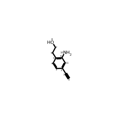 C#Cc1ccc(CCO)c(N)c1